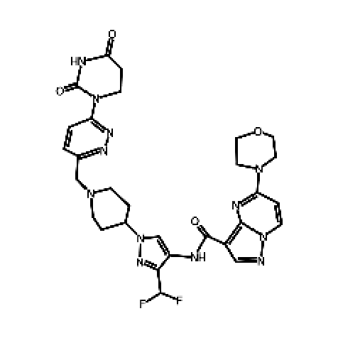 O=C1CCN(c2ccc(CN3CCC(n4cc(NC(=O)c5cnn6ccc(N7CCOCC7)nc56)c(C(F)F)n4)CC3)nn2)C(=O)N1